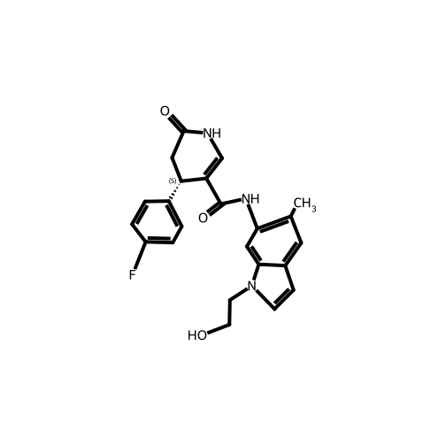 Cc1cc2ccn(CCO)c2cc1NC(=O)C1=CNC(=O)C[C@H]1c1ccc(F)cc1